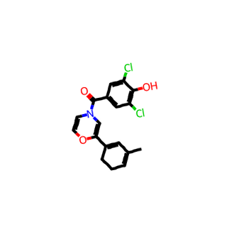 CC1=CCCC(C2=CN(C(=O)c3cc(Cl)c(O)c(Cl)c3)C=CO2)=C1